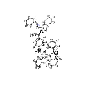 N=C(NC(/N=C/c1ccccc1)c1ccccc1)c1ccc(Nc2c(-c3ccccc3)c3c4ccccc4oc3c3ccccc23)cc1